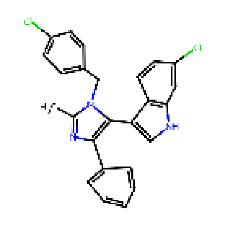 Cc1nc(-c2ccccc2)c(-c2c[nH]c3cc(Cl)ccc23)n1Cc1ccc(Cl)cc1